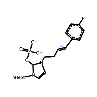 CCCCCCCN1C=CN(CC/C=C/c2ccc(F)cc2)C1OP(=O)(O)O